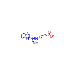 COC(=O)/C=C/C1CC(N/C=C(\C=N)c2cnc3ccccc3n2)C1